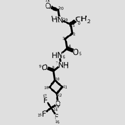 C=C(CCC(=O)NNC(=O)C1CC(OC(F)(F)F)C1)NC=O